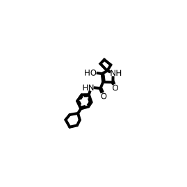 O=C(Nc1ccc(C2CCCCC2)cc1)C1=C(O)C2(CCC2)NC1=O